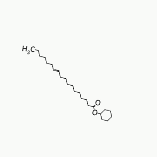 CCCCCCC=CCCCCCCCCCC(=O)OC1CCCCC1